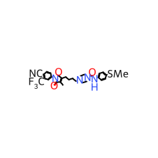 CSc1ccc(NC(=O)N2CCN(CCCCC3=C(C)C(=O)N(c4ccc(C#N)c(C(F)(F)F)c4)C3=O)CC2)cc1